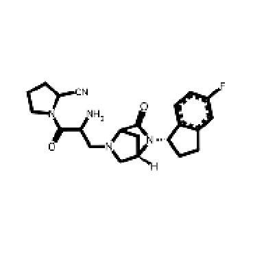 N#CC1CCCN1C(=O)C(N)CN1C[C@@H]2CC1C(=O)N2[C@H]1CCc2cc(F)ccc21